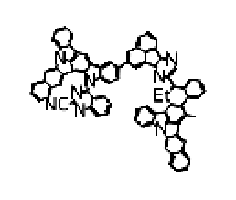 CCC(c1cnc2c(n1)-c1cc(-c3ccc4c(c3)c3cc5c6ccccc6n6c7cc8ccccc8cc7c(c3n4-c3nc(C#N)nc4ccccc34)c56)cc3cccc-2c13)c1ccccc1-c1cc2c3ccccc3n3c4cc5ccccc5cc4c(c1C)c23